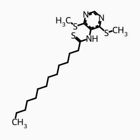 CCCCCCCCCCCCCC(=S)Nc1c(SC)ncnc1SC